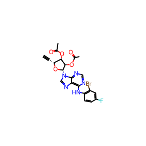 C#C[C@H]1O[C@@H](n2cnc3c(Nc4ccc(F)cc4Br)ncnc32)[C@H](OC(C)=O)[C@@H]1OC(C)=O